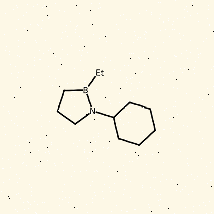 CCB1CCCN1C1CCCCC1